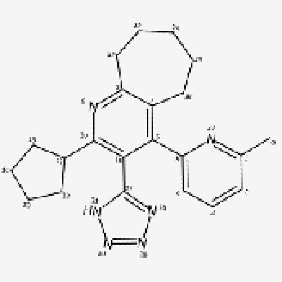 Cc1cccc(-c2c3c(nc(C4CCCC4)c2-c2nnn[nH]2)CCCCC3)n1